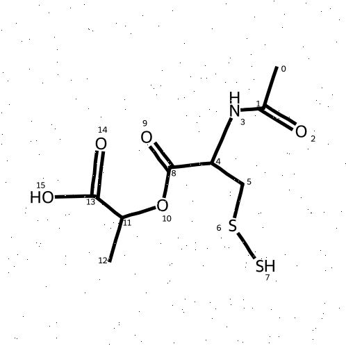 CC(=O)NC(CSS)C(=O)OC(C)C(=O)O